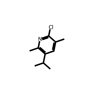 Cc1cc(C(C)C)c(C)nc1Cl